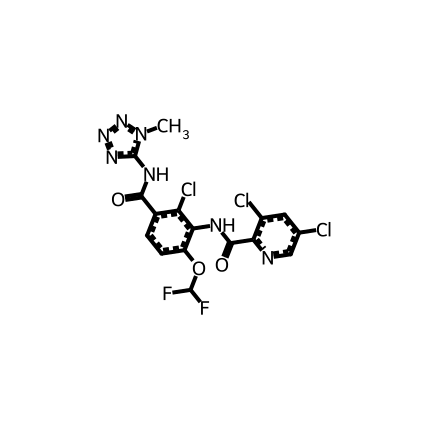 Cn1nnnc1NC(=O)c1ccc(OC(F)F)c(NC(=O)c2ncc(Cl)cc2Cl)c1Cl